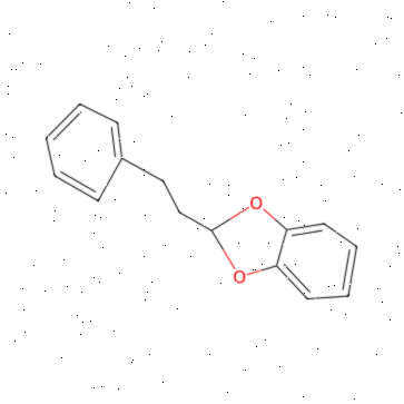 c1ccc(CCC2Oc3ccccc3O2)cc1